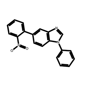 O=[N+]([O-])c1ccccc1-c1ccc2c(c1)ncn2-c1ccccc1